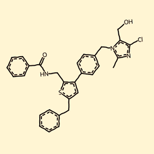 Cc1nc(Cl)c(CO)n1Cc1ccc(-c2cc(Cc3ccccc3)sc2CNC(=O)c2ccccc2)cc1